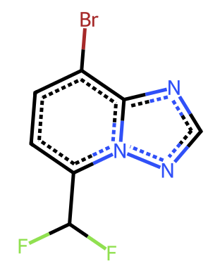 FC(F)c1ccc(Br)c2ncnn12